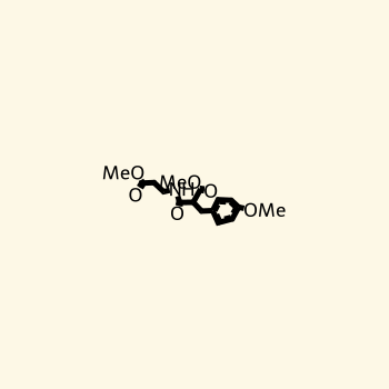 COC(=O)CCNC(=O)C(Cc1ccc(OC)cc1)C(=O)OC